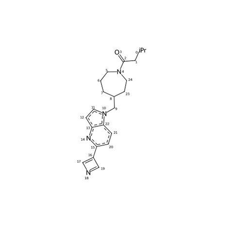 CC(C)CC(=O)N1CCCC(Cn2ccc3nc(C4=CN=C4)ccc32)CC1